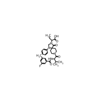 CCC(C(=O)O)N1CN(c2ccccc2)C2(CCN(C(=O)C(NC(=O)c3cc(C)cc(F)c3)C(C)C)CC2)C1=O